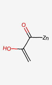 C=C(O)[C](=O)[Zn]